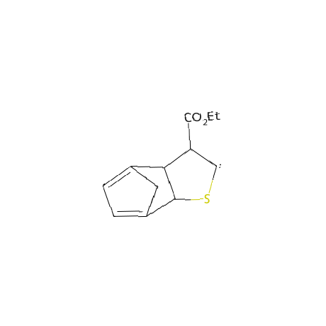 CCOC(=O)C1[C]SC2C3=CC=C(C3)C12